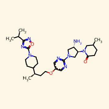 CC1CCC(=O)N([C@H]2CN(c3ncc(OCC[C@@H](C)C4CCN(c5nc(C(C)C)no5)CC4)cn3)C[C@@H]2N)C1